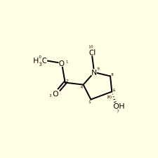 COC(=O)C1C[C@@H](O)CN1Cl